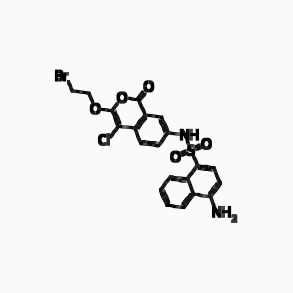 Nc1ccc(S(=O)(=O)Nc2ccc3c(Cl)c(OCCBr)oc(=O)c3c2)c2ccccc12